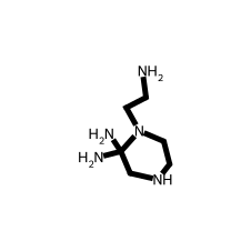 NCCN1CCNCC1(N)N